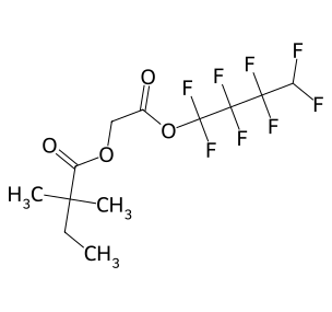 CCC(C)(C)C(=O)OCC(=O)OC(F)(F)C(F)(F)C(F)(F)C(F)F